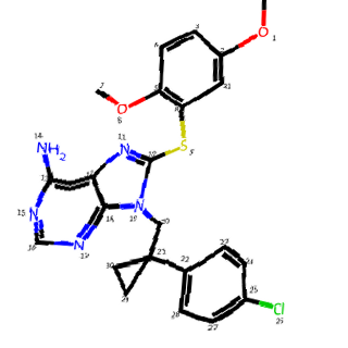 COc1ccc(OC)c(Sc2nc3c(N)ncnc3n2CC2(c3ccc(Cl)cc3)CC2)c1